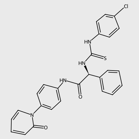 O=C(Nc1ccc(-n2ccccc2=O)cc1)[C@@H](NC(=S)Nc1ccc(Cl)cc1)c1ccccc1